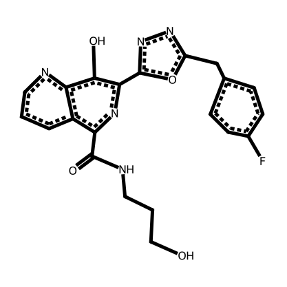 O=C(NCCCO)c1nc(-c2nnc(Cc3ccc(F)cc3)o2)c(O)c2ncccc12